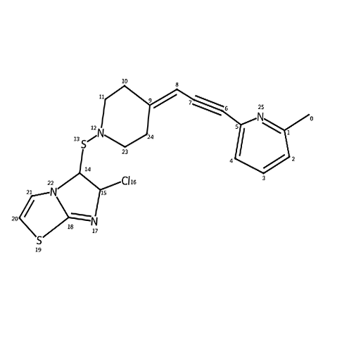 Cc1cccc(C#CC=C2CCN(SC3C(Cl)N=C4SC=CN43)CC2)n1